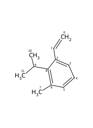 C=Cc1cccc(C)c1C(C)C